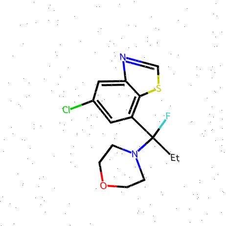 [CH2]CC(F)(c1cc(Cl)cc2ncsc12)N1CCOCC1